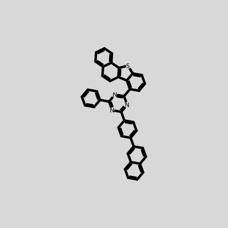 c1ccc(-c2nc(-c3ccc(-c4ccc5ccccc5c4)cc3)nc(-c3cccc4sc5c6ccccc6ccc5c34)n2)cc1